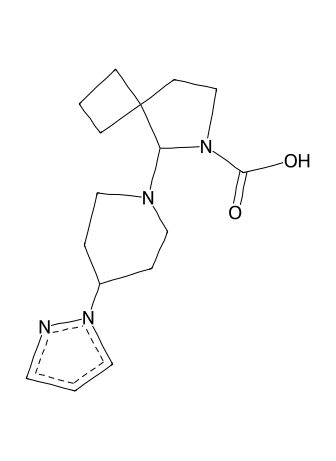 O=C(O)N1CCC2(CCC2)C1N1CCC(n2cccn2)CC1